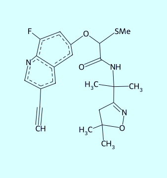 C#Cc1cnc2c(F)cc(OC(SC)C(=O)NC(C)(C)C3=NOC(C)(C)C3)cc2c1